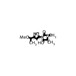 COC(C)c1cc(N2C(=O)N(C)C(C)C2O)on1